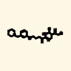 O=CNc1cnc(NCCCOc2cccc(CN3CCCCC3)c2)[nH]c1=O